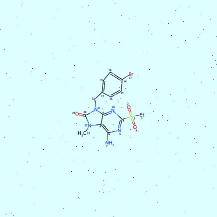 CCS(=O)(=O)c1nc(N)c2c(n1)n(Cc1ccc(Br)cc1)c(=O)n2C